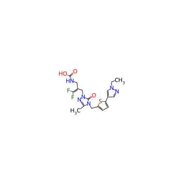 CCn1cc(-c2ccc(Cn3c(C)nn(CC(CNC(=O)O)=C(F)F)c3=O)s2)cn1